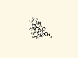 CCC(=O)Oc1cnc2ccccc2c1Nc1cccc(Br)c1